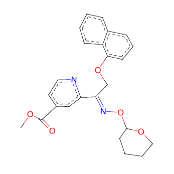 COC(=O)c1ccnc(/C(COc2cccc3ccccc23)=N/OC2CCCCO2)c1